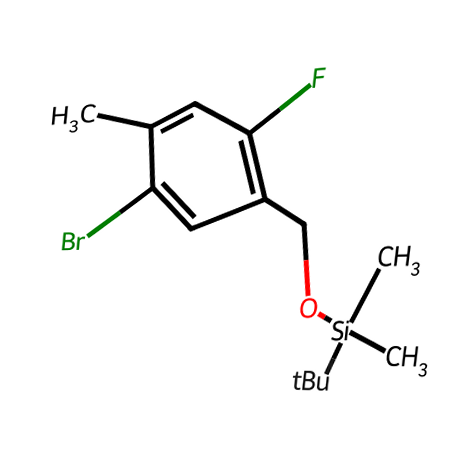 Cc1cc(F)c(CO[Si](C)(C)C(C)(C)C)cc1Br